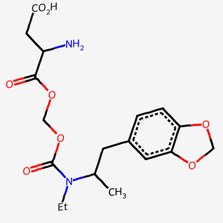 CCN(C(=O)OCOC(=O)C(N)CC(=O)O)C(C)Cc1ccc2c(c1)OCO2